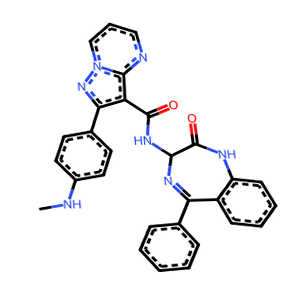 CNc1ccc(-c2nn3cccnc3c2C(=O)NC2N=C(c3ccccc3)c3ccccc3NC2=O)cc1